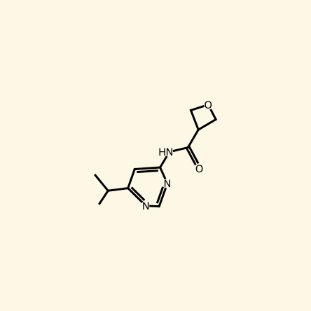 CC(C)c1cc(NC(=O)C2COC2)ncn1